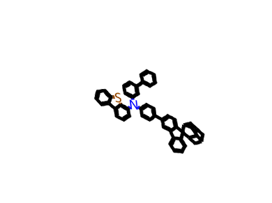 c1ccc(-c2cccc(N(c3ccc(-c4ccc5c(c4)-c4ccccc4C54C5CC6CC(C5)CC4C6)cc3)c3cccc4c3sc3ccccc34)c2)cc1